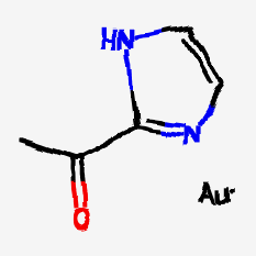 CC(=O)c1ncc[nH]1.[Au]